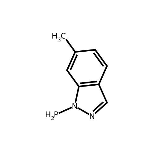 Cc1ccc2cnn(P)c2c1